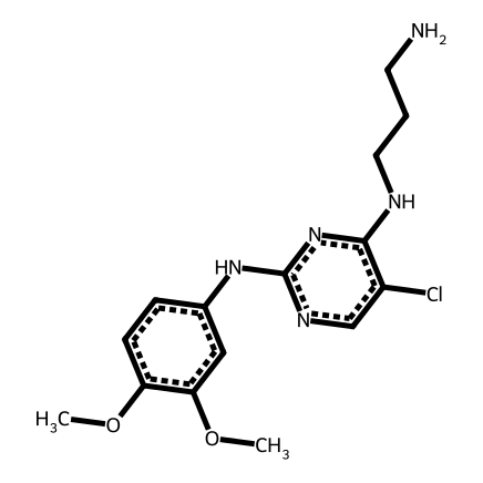 COc1ccc(Nc2ncc(Cl)c(NCCCN)n2)cc1OC